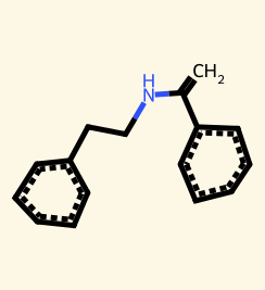 C=C(NCCc1ccccc1)c1ccccc1